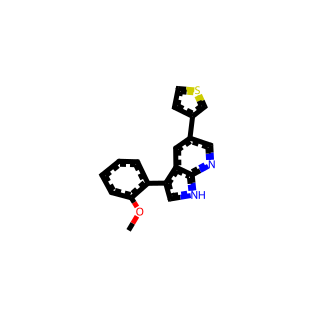 COc1ccccc1-c1c[nH]c2ncc(-c3ccsc3)cc12